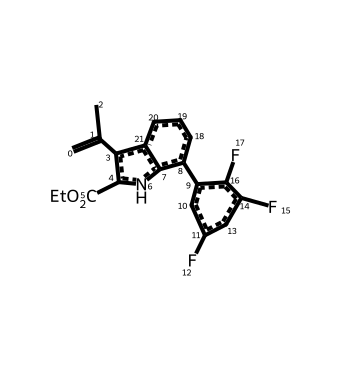 C=C(C)c1c(C(=O)OCC)[nH]c2c(-c3cc(F)cc(F)c3F)cccc12